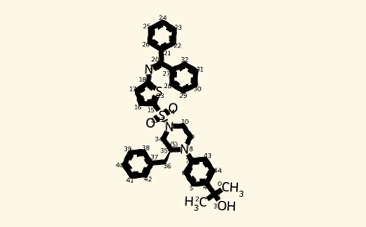 CC(C)(O)c1ccc(N2CCN(S(=O)(=O)c3ccc(N=C(c4ccccc4)c4ccccc4)s3)C[C@@H]2Cc2ccccc2)cc1